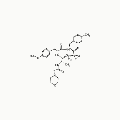 COc1ccc(C[C@H](NC(=O)[C@H](C)NC(=O)CN2CCOCC2)C(=O)N[C@@H](Cc2ccc(C)cc2)C(=O)[C@@]2(C)CO2)cc1